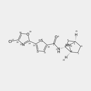 O=C(N[C@@H]1C[C@H]2CC[C@@H]1N2)c1ccc(-c2nc(Cl)co2)s1